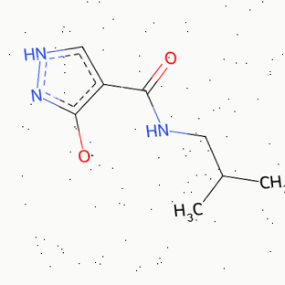 CC(C)CNC(=O)c1c[nH]nc1[O]